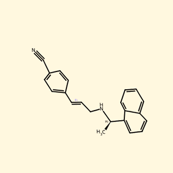 C[C@@H](NC/C=C/c1ccc(C#N)cc1)c1cccc2ccccc12